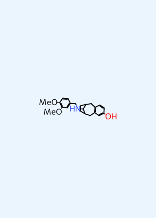 COc1ccc(CNC2C3CCC2Cc2cc(O)ccc2C3)cc1OC